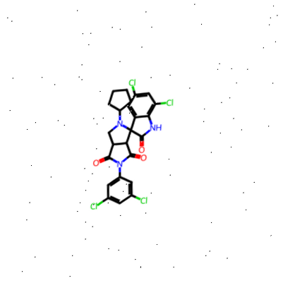 O=C1C2CN(C3CCCC3)C3(C(=O)Nc4c(Cl)cc(Cl)cc43)C2C(=O)N1c1cc(Cl)cc(Cl)c1